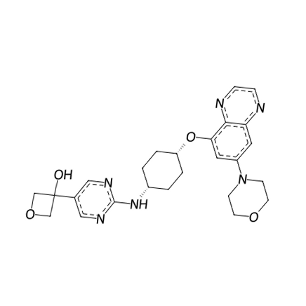 OC1(c2cnc(N[C@H]3CC[C@@H](Oc4cc(N5CCOCC5)cc5nccnc45)CC3)nc2)COC1